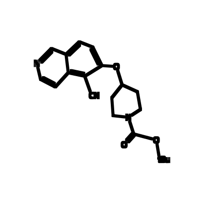 CC(C)(C)OC(=O)N1CCC(Oc2ccc3cnccc3c2C#N)CC1